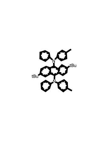 Cc1ccc(N(c2ccccc2)c2c3ccc(C(C)(C)C)cc3c(N(c3ccccc3)c3ccc(C)cc3)c3ccc(C(C)(C)C)cc23)cc1